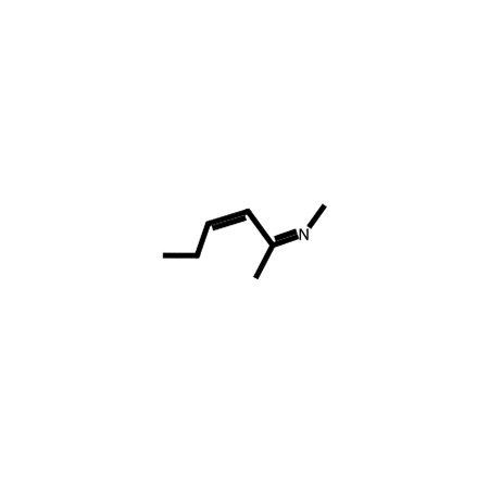 CC/C=C\C(C)=N/C